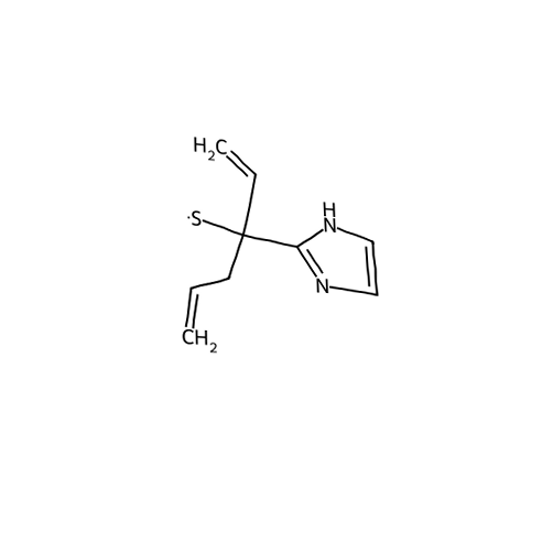 C=CCC([S])(C=C)c1ncc[nH]1